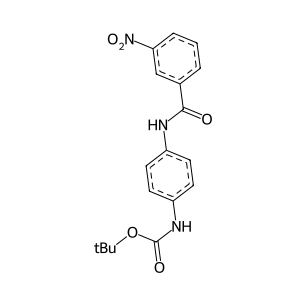 CC(C)(C)OC(=O)Nc1ccc(NC(=O)c2cccc([N+](=O)[O-])c2)cc1